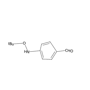 CC(C)(C)ONc1ccc(C=O)cc1